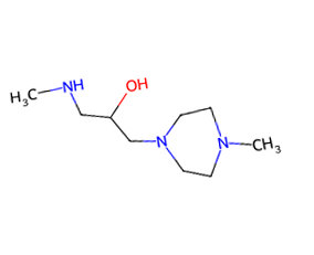 CNCC(O)CN1CCN(C)CC1